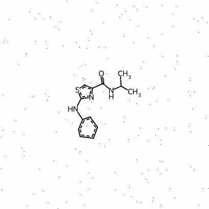 CC(C)NC(=O)c1csc(Nc2ccccc2)n1